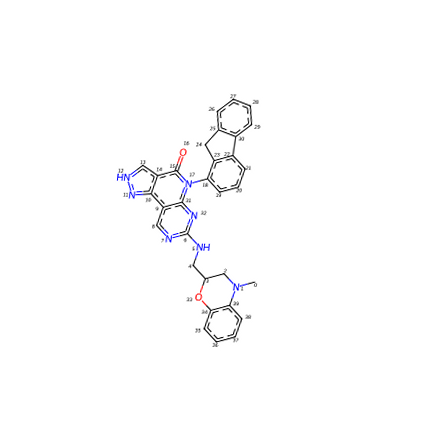 CN1CC(CNc2ncc3c4n[nH]cc4c(=O)n(-c4cccc5c4Cc4ccccc4-5)c3n2)Oc2ccccc21